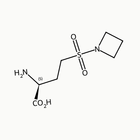 N[C@@H](CCS(=O)(=O)N1CCC1)C(=O)O